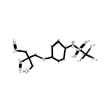 CCC(CN=O)(COC1CCC(NS(=O)(=O)C(F)(F)F)CC1)N=O